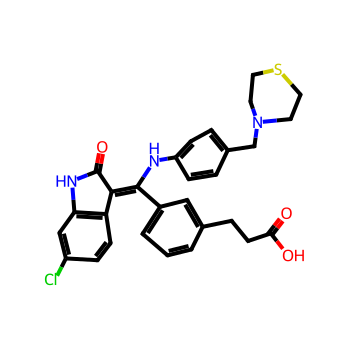 O=C(O)CCc1cccc(/C(Nc2ccc(CN3CCSCC3)cc2)=C2/C(=O)Nc3cc(Cl)ccc32)c1